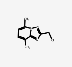 Cc1ccc(C)n2nc(CCl)nc12